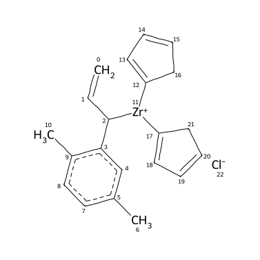 C=C[CH](c1cc(C)ccc1C)[Zr+]([C]1=CC=CC1)[C]1=CC=CC1.[Cl-]